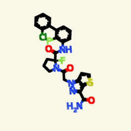 NC(=O)c1nn(CC(=O)N2CCC[C@]2(F)C(=O)Nc2cccc(-c3ccccc3Cl)c2F)c2ccsc12